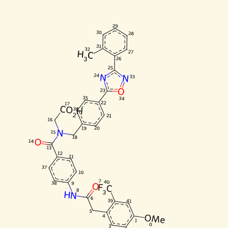 COc1ccc(CC(=O)Nc2ccc(C(=O)N(CC(=O)O)Cc3ccc(-c4nc(-c5ccccc5C)no4)cc3)cc2)c(C(F)(F)F)c1